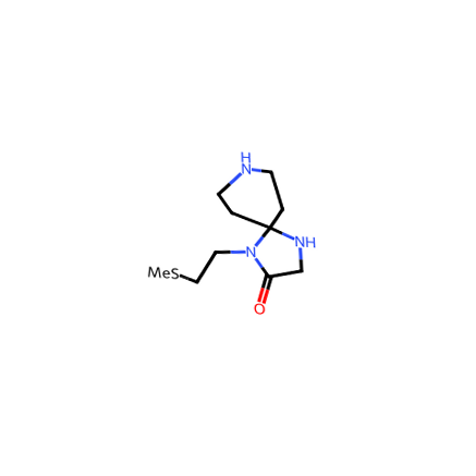 CSCCN1C(=O)CNC12CCNCC2